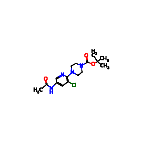 CC(=O)Nc1cnc(N2CCN(C(=O)OC(C)(C)C)CC2)c(Cl)c1